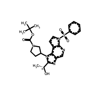 C[C@@H](O)c1nc2cnc3c(ccn3S(=O)(=O)c3ccccc3)c2n1C1CCN(C(=O)OC(C)(C)C)C1